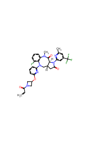 C=CC(=O)N1CC(Oc2cccc(N3C[C@H]4CC(=O)N(c5cc(C(F)(F)F)cc(C)n5)[C@@H]4C(=O)N(C)c4cccc(F)c43)n2)C1